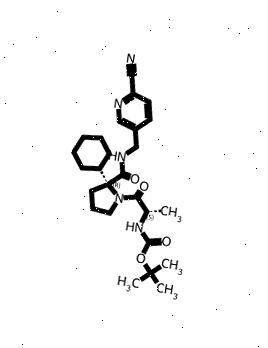 C[C@H](NC(=O)OC(C)(C)C)C(=O)N1CCC[C@]1(C(=O)NCc1ccc(C#N)nc1)C1CCCCC1